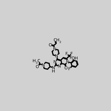 C=CC(=O)N1CCN(c2nc(NC3CCN(C(C)=O)CC3)nc3c(=O)n(-c4c(O)cccc4F)c(C(F)(F)F)cc23)CC1